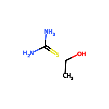 CCO.NC(N)=S